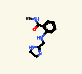 CCNC(=O)c1ccccc1NCC1=NCCN1